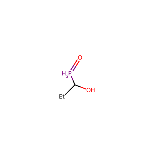 CCC(O)[PH2]=O